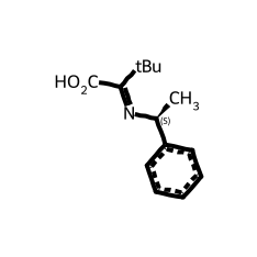 C[C@H](N=C(C(=O)O)C(C)(C)C)c1ccccc1